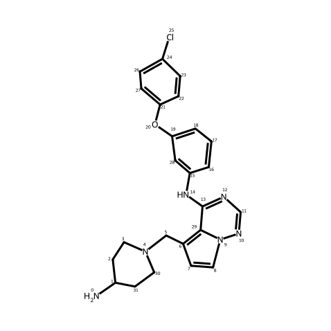 NC1CCN(Cc2ccn3ncnc(Nc4cccc(Oc5ccc(Cl)cc5)c4)c23)CC1